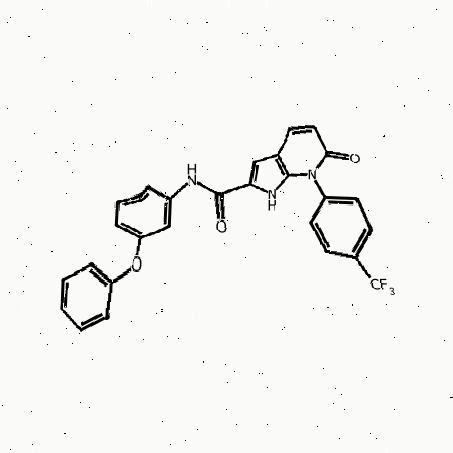 O=C(Nc1cccc(Oc2ccccc2)c1)c1cc2ccc(=O)n(-c3ccc(C(F)(F)F)cc3)c2[nH]1